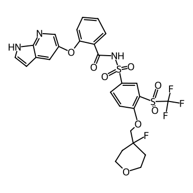 O=C(NS(=O)(=O)c1ccc(OCC2(F)CCOCC2)c(S(=O)(=O)C(F)(F)F)c1)c1ccccc1Oc1cnc2[nH]ccc2c1